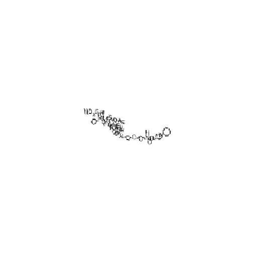 CC[C@@H](C)[C@H](NC(=O)CN(C)CCOCCOCCOCCNC(=O)OCC1CCN(C2CCCCCCCC2)CC1)C(=O)N(C)[C@H](CC(OC(C)=O)c1nc(C(=O)N[C@@H](Cc2ccccc2)C[C@H](C)C(=O)O)cs1)C(C)C